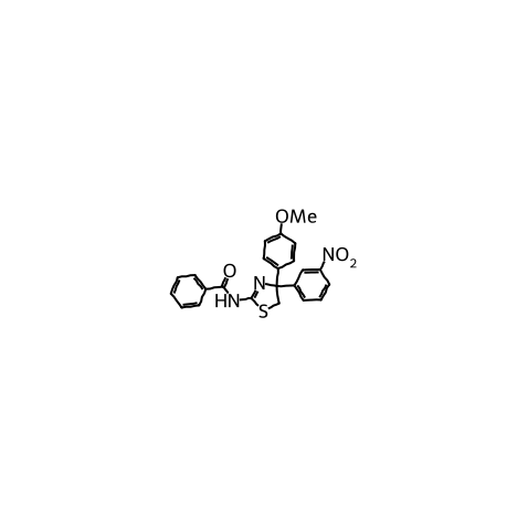 COc1ccc(C2(c3cccc([N+](=O)[O-])c3)CSC(NC(=O)c3ccccc3)=N2)cc1